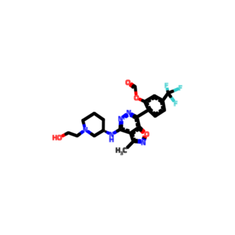 Cc1noc2c(-c3ccc(C(F)(F)F)cc3OC=O)nnc(N[C@@H]3CCCN(CCO)C3)c12